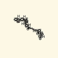 O=C1CCC(N2C(=O)c3cccc(NCCCCCCNC(=O)c4ccc(Nc5ncc(F)c(Nc6ccc(C(=O)Nc7ccccc7Cl)cc6)n5)cc4)c3C2=O)C(=O)N1